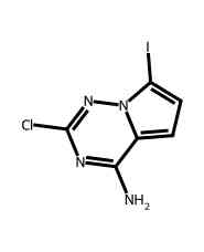 Nc1nc(Cl)nn2c(I)ccc12